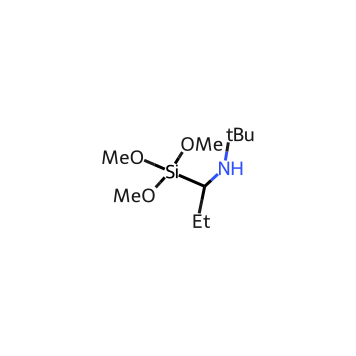 CCC(NC(C)(C)C)[Si](OC)(OC)OC